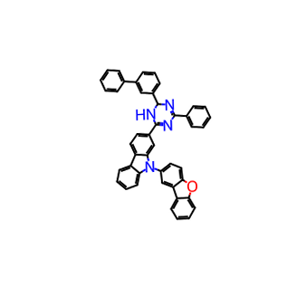 c1ccc(C2=NC(c3cccc(-c4ccccc4)c3)NC(c3ccc4c5ccccc5n(-c5ccc6oc7ccccc7c6c5)c4c3)=N2)cc1